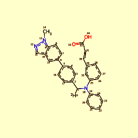 [2H]C(c1ccc(-c2ccc3c(cnn3C)c2)cc1)N(c1ccccc1)c1cccc(/C=C/C(=O)O)c1